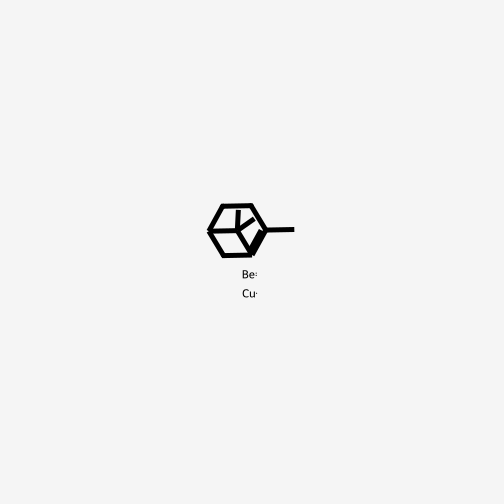 CC1=C2CC(CC1)C2(C)C.[Be].[Cu]